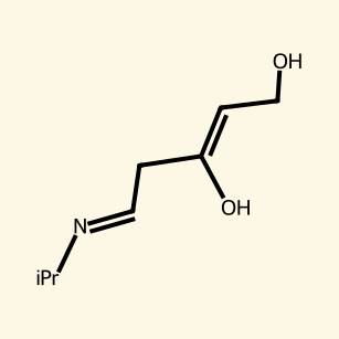 CC(C)N=CCC(O)=CCO